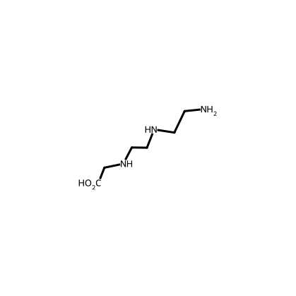 NCCNCCNCC(=O)O